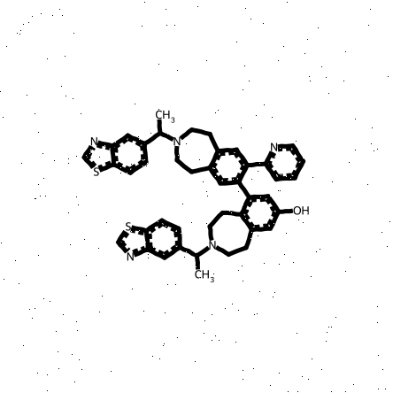 CC(c1ccc2scnc2c1)N1CCc2cc(-c3ccccn3)c(-c3cc(O)cc4c3CCN(C(C)c3ccc5scnc5c3)CC4)cc2CC1